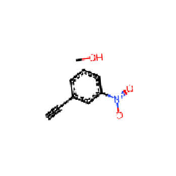 C#Cc1cccc([N+](=O)[O-])c1.CO